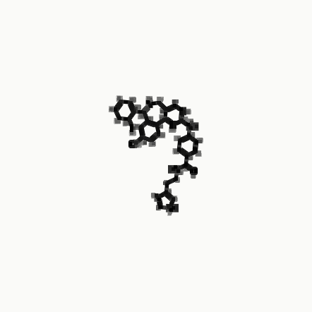 O=C(NCCc1c[nH]cn1)c1ccc(Nc2ncc3c(n2)-c2ccc(Cl)cc2C(C2=CC=CCC2F)=NC3)cc1